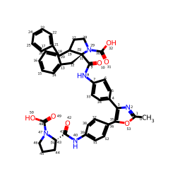 Cc1nc(-c2ccc(NC(=O)[C@]3(Cc4ccccc4)C(Cc4ccccc4)CCN3C(=O)O)cc2)c(-c2ccc(NC(=O)[C@@H]3CCCN3C(=O)O)cc2)o1